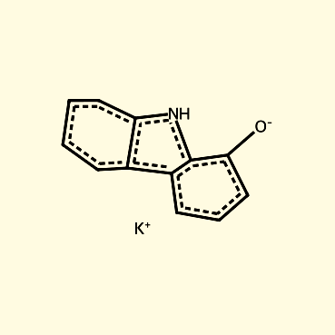 [K+].[O-]c1cccc2c1[nH]c1ccccc12